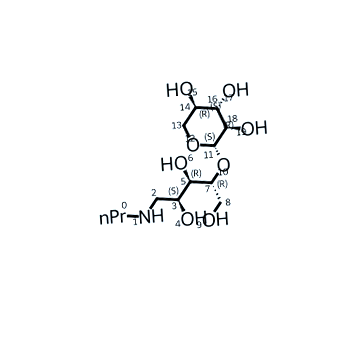 CCCNC[C@H](O)[C@@H](O)[C@@H](CO)O[C@@H]1OC[C@@H](O)[C@H](O)[C@H]1O